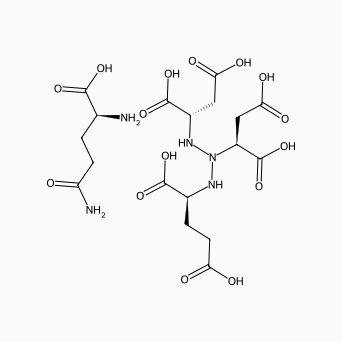 NC(=O)CC[C@H](N)C(=O)O.O=C(O)CC[C@H](NN(N[C@@H](CC(=O)O)C(=O)O)[C@@H](CC(=O)O)C(=O)O)C(=O)O